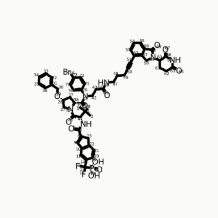 CC(C)(C)[C@H](NC(=O)C1=Cc2cc(C(F)(F)P(=O)(O)O)ccc2C1)C(=O)N1C[C@H](OCc2ccccc2)C[C@H]1C(=O)N(CCC(=O)NCCCC#Cc1cccc2c1CN(C1CCC(=O)NC1=O)C2=O)c1ccc(Br)cc1